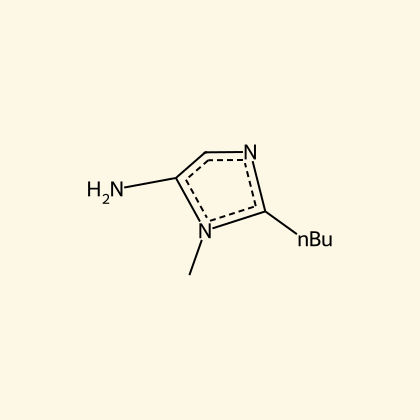 CCCCc1ncc(N)n1C